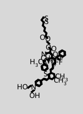 CC1(C)CC(/C=C/c2ccc(N(CCO)CCO)cc2)=C(Sc2ccc(C(C)(C)C)cc2)C(/C=C/C=C/C2=C(C#N)C(=C(\C#N)C(=O)OCCOC(=O)CCCCC3CCSS3)/OC2(c2ccccc2)C(F)(F)F)C1